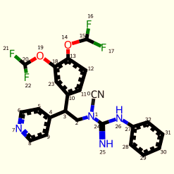 N#CN(CC(c1ccncc1)c1ccc(OC(F)F)c(OC(F)F)c1)C(=N)Nc1ccccc1